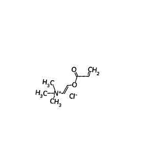 C=CC(=O)OC=C[N+](C)(C)C.[Cl-]